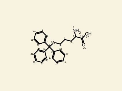 NC(CCCSC(c1ccccc1)(c1ccccc1)c1ccccc1)C(=O)O